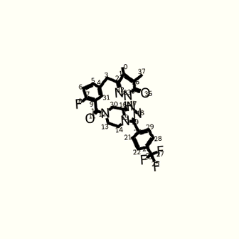 Cc1c(Cc2ccc(F)c(C(=O)N3CCn4c(nnc4-c4ccc(C(F)(F)F)cc4)C3)c2)n[nH]c(=O)c1C